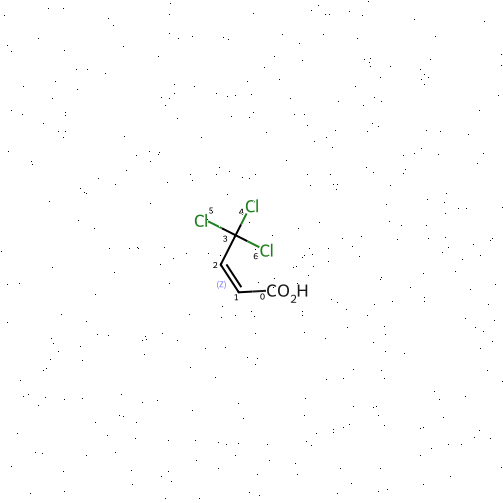 O=C(O)/C=C\C(Cl)(Cl)Cl